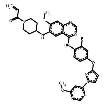 C=CC(=O)N1CCC(Nc2cc3c(Nc4ccc(Oc5ccn(-c6cc(OC)ncn6)n5)cc4F)ncnc3cc2OC)CC1